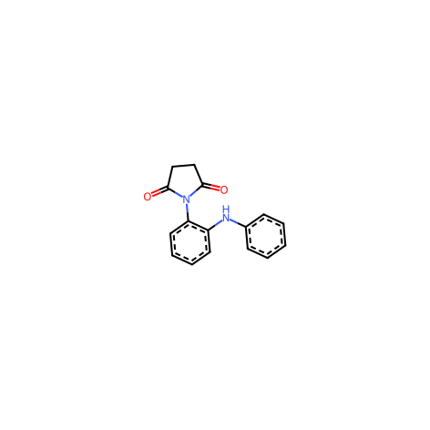 O=C1CCC(=O)N1c1ccccc1Nc1ccccc1